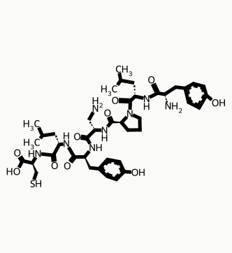 CC(C)C[C@H](NC(=O)[C@H](Cc1ccc(O)cc1)NC(=O)[C@H](CN)NC(=O)[C@@H]1CCCN1C(=O)[C@H](CC(C)C)NC(=O)[C@@H](N)Cc1ccc(O)cc1)C(=O)N[C@@H](CS)C(=O)O